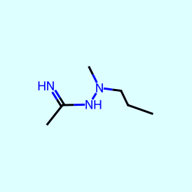 CCCN(C)NC(C)=N